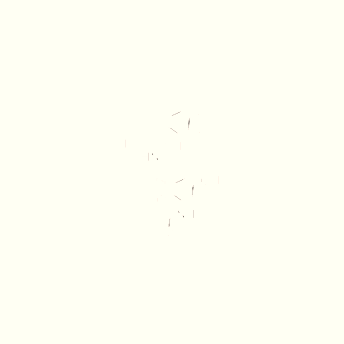 Cc1cc(CC(C)(C)NC[C@H](O)c2cc(O)cc3c2OCC(=O)N3)ccc1F